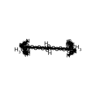 Cc1c(-c2ccnn2-c2ccc(C#N)cc2)cc(C(=O)NCCOCCOCCOCCOCCNC(=O)C(=O)NCCOCCOCCOCCOCCNC(=O)c2cc(-c3ccnn3-c3ccc(C#N)cc3)c(C)n(-c3cccc(C(F)(F)F)c3)c2=O)c(=O)n1-c1cccc(C(F)(F)F)c1